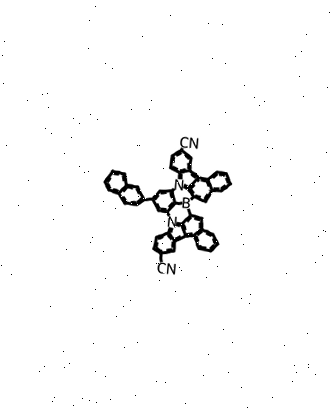 N#Cc1ccc2c(c1)c1c3ccccc3cc3c1n2-c1cc(-c2ccc4ccccc4c2)cc2c1B3c1cc3ccccc3c3c4cc(C#N)ccc4n-2c13